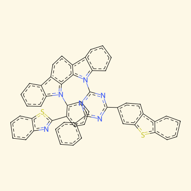 c1ccc(-c2nc(-c3ccc4c(c3)sc3ccccc34)nc(-n3c4ccccc4c4ccc5c6ccccc6n(-c6ccccc6-c6nc7ccccc7s6)c5c43)n2)cc1